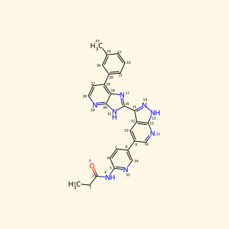 CCC(=O)Nc1ccc(-c2cnc3[nH]nc(-c4nc5c(-c6cccc(C)c6)ccnc5[nH]4)c3c2)cn1